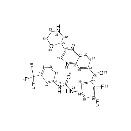 O=C(Nc1cccc(C(F)(F)F)c1)Nc1cc(F)c(F)c(C(=O)c2ccc3nc(C4CNCCO4)cnc3c2)c1